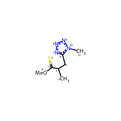 COC(=S)C(C)Cc1nnnn1C